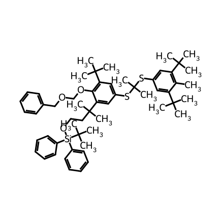 Cc1c(C(C)(C)C)cc(SC(C)(C)Sc2cc(C(C)(C)C)c(OCOCc3ccccc3)c(C(C)(C)CCO[Si](c3ccccc3)(c3ccccc3)C(C)(C)C)c2)cc1C(C)(C)C